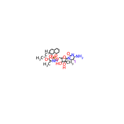 CC(C)OC(=O)[C@@H](C)N[P@](=O)(OC[C@H]1O[C@@H](n2cc(I)c(N)nc2=O)[C@](C)(O)[C@@H]1O)Oc1cccc2ccccc12